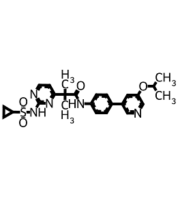 CC(C)Oc1cncc(-c2ccc(NC(=O)C(C)(C)c3ccnc(NS(=O)(=O)C4CC4)n3)cc2)c1